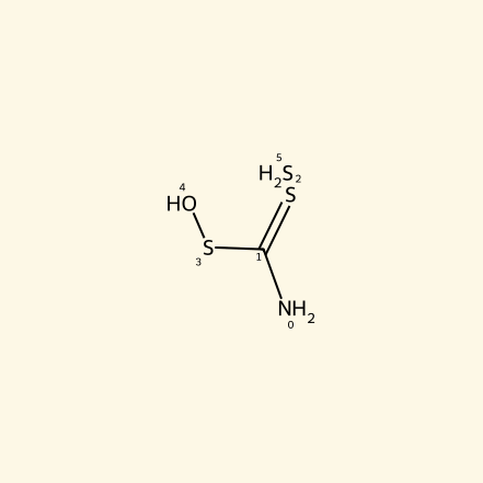 NC(=S)SO.S